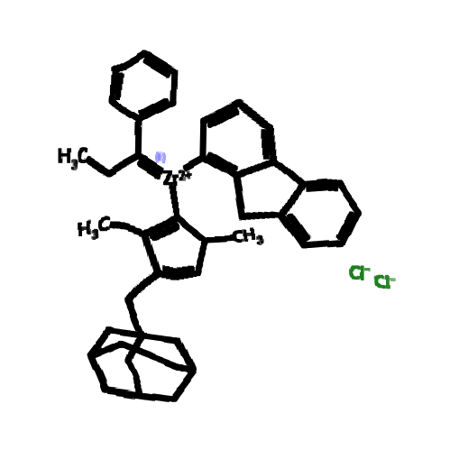 CC/[C](c1ccccc1)=[Zr+2](\[C]1=C(C)C(CC23CC4CC(CC(C4)C2)C3)=CC1C)[c]1cccc2c1Cc1ccccc1-2.[Cl-].[Cl-]